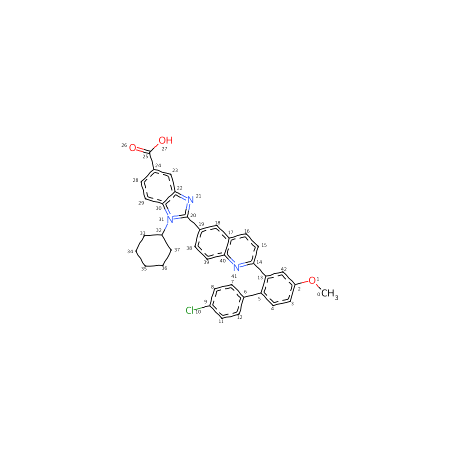 COc1ccc(-c2ccc(Cl)cc2)c(-c2ccc3cc(-c4nc5cc(C(=O)O)ccc5n4C4CCCCC4)ccc3n2)c1